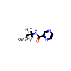 COCC(C)(C)NC(=O)c1cnccn1